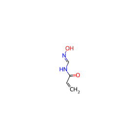 C=CC(=O)NC=NO